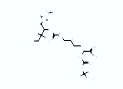 CCC(C)(C)C(CS(=O)(=O)N(C)C)OC(=O)NCCCC[C@H](NC(=O)OC(C)(C)C)C(=O)O